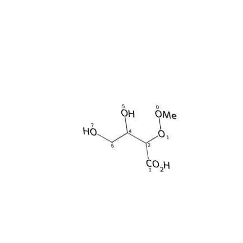 COOC(C(=O)O)C(O)CO